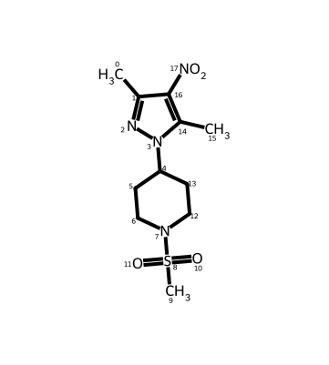 Cc1nn(C2CCN(S(C)(=O)=O)CC2)c(C)c1[N+](=O)[O-]